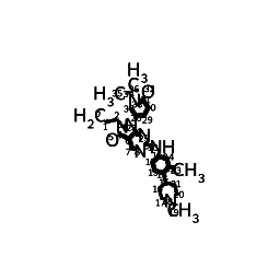 C=CCn1c(=O)c2cnc(Nc3ccc(C4CCN(C)CC4)c(C)c3)nc2n1-c1ccc(=O)n(C(C)C)c1